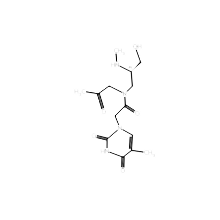 CN[C@@H](CO)CN(CC(C)=O)C(=O)Cn1cc(C)c(=O)[nH]c1=O